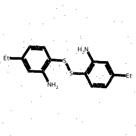 CCc1ccc(SSc2ccc(CC)cc2N)c(N)c1